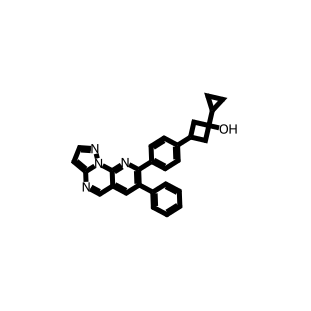 OC1(C2CC2)CC(c2ccc(-c3nc4c(cnc5ccnn54)cc3-c3ccccc3)cc2)C1